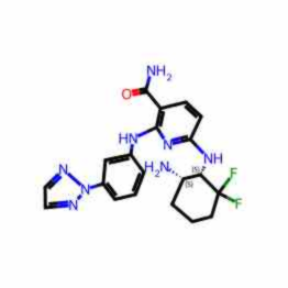 NC(=O)c1ccc(N[C@H]2[C@@H](N)CCCC2(F)F)nc1Nc1cccc(-n2nccn2)c1